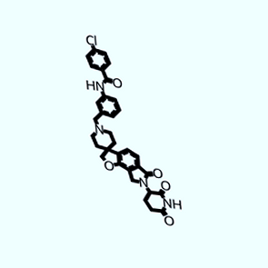 O=C1CCC(N2Cc3c(ccc4c3OCC43CCN(Cc4cccc(NC(=O)c5ccc(Cl)cc5)c4)CC3)C2=O)C(=O)N1